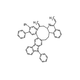 C=CC1=NC2CC(=C)[n+]3cc(C(C)C)c(-c4ccccc4)cc3-c3cc4c5ccccc5n(-c5ccccc5)c4cc3CCC2c2ccccc21